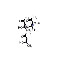 CC(=O)/C=C(/C)O.CC(=O)/C=C(/C)O.CC(=O)/C=C(/C)O.O.[La]